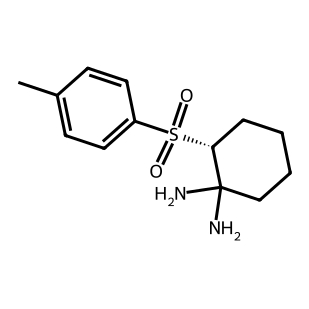 Cc1ccc(S(=O)(=O)[C@@H]2CCCCC2(N)N)cc1